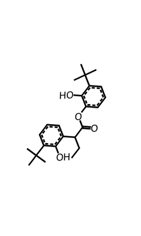 CCC(C(=O)Oc1cccc(C(C)(C)C)c1O)c1cccc(C(C)(C)C)c1O